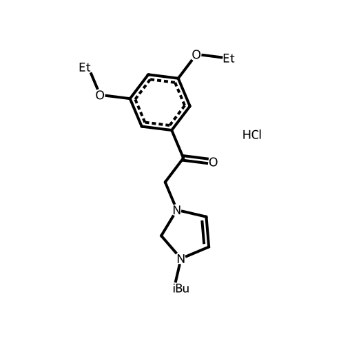 CCOc1cc(OCC)cc(C(=O)CN2C=CN(C(C)CC)C2)c1.Cl